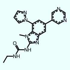 CCNC(=O)Nc1nc2cc(-c3cncnc3)cc(-n3cccn3)c2n1C